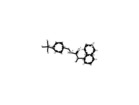 CC(C(=O)NCc1ccc(C(C)(C)C)cc1)c1cccc2cnccc12